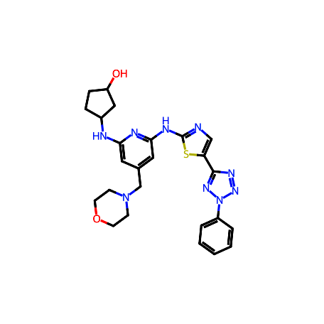 OC1CCC(Nc2cc(CN3CCOCC3)cc(Nc3ncc(-c4nnn(-c5ccccc5)n4)s3)n2)C1